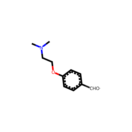 CN(C)CCOc1ccc([C]=O)cc1